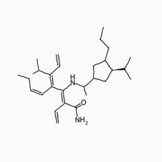 C=CC(=C(/C=C\CC)/C(NC(C)C1CC(CCC)[C@@H](C(C)C)C1)=C(\C=C)C(N)=O)C(C)C